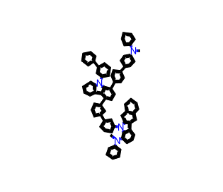 CN(c1ccccc1)c1ccc(-c2ccc(-c3ccc(-c4cccc(-c5cccc(-n6c7cc8ccccc8cc7c7cccc(N(C)c8ccccc8)c76)c5)c4)c4c5ccccc5n(-c5cccc(-c6ccccc6)c5)c34)cc2)cc1